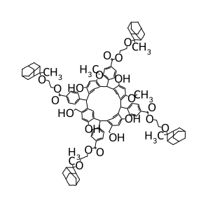 COc1cc(O)c2cc1C(c1ccc(C(=O)OCCOC3(C)C4CC5CC(C4)CC3C5)cc1)c1cc(c(OC)cc1O)C(c1ccc(C(=O)OCCOC3(C)C4CC5CC(C4)CC3C5)cc1)c1cc(c(CO)cc1O)C(c1ccc(C(=O)OCCOC3(C)C4CC5CC(C4)CC3C5)cc1)c1cc(c(CO)cc1O)C2c1ccc(C(=O)OCCOC2(C)C3CC4CC(C3)CC2C4)cc1